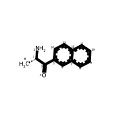 C[C@H](N)C(=O)c1[c]c2ccccc2cc1